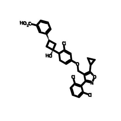 O=C(O)c1cccc([C@H]2C[C@](O)(C3CC=C(OCc4c(-c5c(Cl)cccc5Cl)noc4C4CC4)C=C3Cl)C2)c1